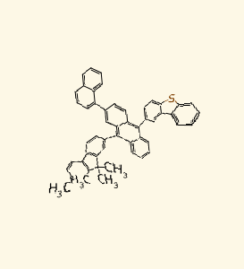 CC/C=C\C1=C(C)C(C)(C)c2cc(-c3c4ccccc4c(-c4ccc5sc6ccccc6c5c4)c4ccc(-c5cccc6ccccc56)cc34)ccc21